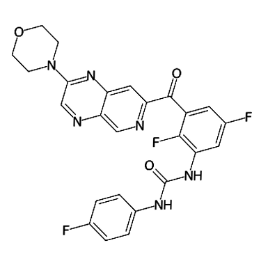 O=C(Nc1ccc(F)cc1)Nc1cc(F)cc(C(=O)c2cc3nc(N4CCOCC4)cnc3cn2)c1F